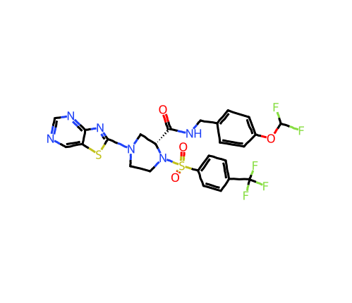 O=C(NCc1ccc(OC(F)F)cc1)[C@H]1CN(c2nc3ncncc3s2)CCN1S(=O)(=O)c1ccc(C(F)(F)F)cc1